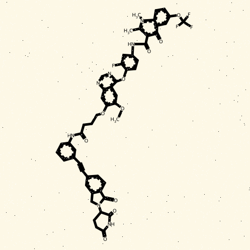 COc1cc2c(Oc3ccc(NC(=O)c4c(C)n(C)c5ccc(OC(F)(F)F)cc5c4=O)cc3F)ncnc2cc1OCCCC(=O)Nc1cccc(C#Cc2ccc3c(c2)CN(C2CCC(=O)NC2=O)C3=O)c1